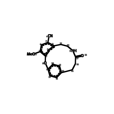 COc1cc(C#N)c2cc1Oc1ccc(cc1)CCC(=O)NCC2